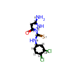 Nc1cc(=O)n(C(=S)Nc2ccc(Cl)c(Cl)c2)[nH]1